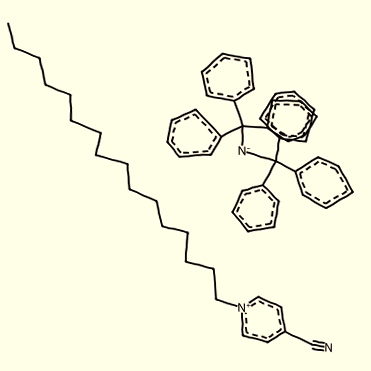 CCCCCCCCCCCCCCCC[n+]1ccc(C#N)cc1.c1ccc(C([N-]C(c2ccccc2)(c2ccccc2)c2ccccc2)(c2ccccc2)c2ccccc2)cc1